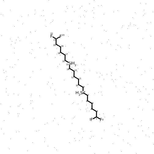 FC(F)CCCCC[SiH2]CCCCCC[SiH2]CCCCCC(F)F